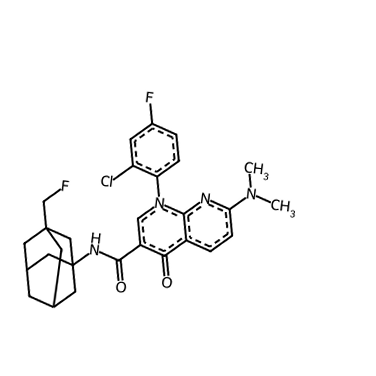 CN(C)c1ccc2c(=O)c(C(=O)NC34CC5CC(CC(CF)(C5)C3)C4)cn(-c3ccc(F)cc3Cl)c2n1